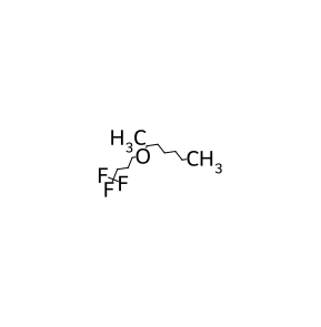 CCCCCC(C)OCCCC(F)(F)F